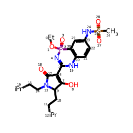 CCOP1(=O)N=C(C2=C(O)C(CCC(C)C)N(CCC(C)C)C2=O)Nc2ccc(NS(C)(=O)=O)cc21